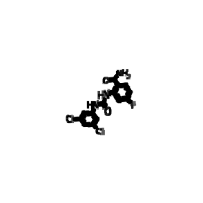 NC(=O)c1ccc(F)cc1NC(=O)Nc1cc(Cl)cc(Cl)c1